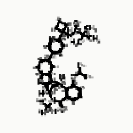 [2H]C([2H])([2H])N1C(=O)c2cccc(OC(F)F)c2[C@H]2C[C@@H]1c1nc3ccc(-c4ccc(C5(N[S+]([O-])C(C)(C)C)CCC5)nc4)cc3n12